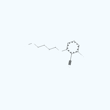 CSCCCCOc1cccc(N)c1C#N